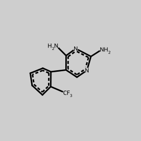 Nc1ncc(-c2ccccc2C(F)(F)F)c(N)n1